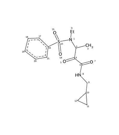 CCN(C(C)C(=O)C(=O)NCC1CC1)S(=O)(=O)c1ccccc1